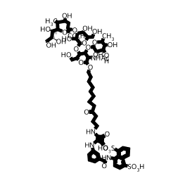 CC(=O)NC1C(OCCCCCCCCC(=O)CCCNc2c(Nc3cccc(C(=O)Nc4ccc(S(=O)(=O)O)c5cccc(S(=O)(=O)O)c45)c3)c(=O)c2=O)OC(CO)C(OC2OC(CO)C(O)C(OC3(C(=O)O)CC(O)C(C)C([C@H](O)[C@H](O)CO)O3)C2O)C1OC1OC(C)C(O)C(O)C1O